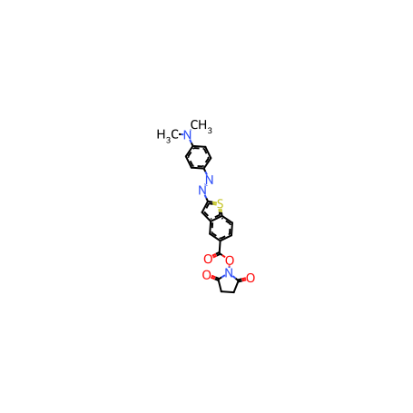 CN(C)c1ccc(N=Nc2cc3cc(C(=O)ON4C(=O)CCC4=O)ccc3s2)cc1